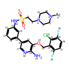 CC(=O)N1CCN(CCS(=O)(=O)Nc2cccc(-c3cnc(N)c(OCc4c(F)ccc(F)c4Cl)c3)c2)CC1